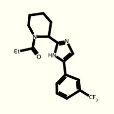 CCC(=O)N1CCCCC1c1ncc(-c2cccc(C(F)(F)F)c2)[nH]1